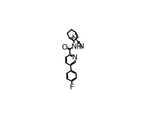 N#CN1C2CCC1C(NC(=O)c1ccc(-c3ccc(F)cc3)cn1)C2